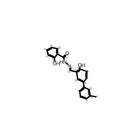 Cc1cccc(-c2ccc(O)c(/C=N/NC(=O)c3ccccc3O)c2)c1